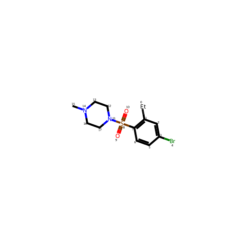 CCc1cc(Br)ccc1S(=O)(=O)N1CCN(C)CC1